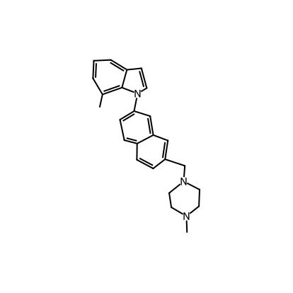 Cc1cccc2ccn(-c3ccc4ccc(CN5CCN(C)CC5)cc4c3)c12